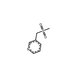 CS(=O)(=O)Cc1cccnc1